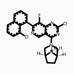 O=C(O)N1[C@@H]2CC[C@H]1CN(c1nc(Cl)nc3c(F)c(-c4cccc5cccc(Cl)c45)ncc13)C2